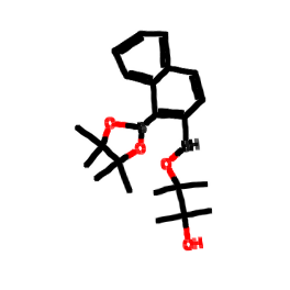 CC(C)(O)C(C)(C)OBc1ccc2ccccc2c1B1OC(C)(C)C(C)(C)O1